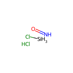 Cl.N=O.[SiH3]Cl